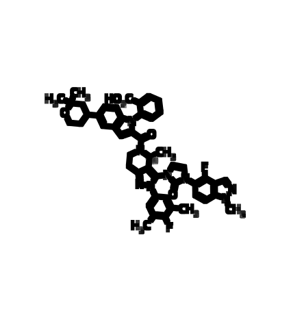 Cc1cc(-n2nc3c(c2-n2ccn(-c4ccc5c(cnn5C)c4F)c2=O)[C@H](C)N(C(=O)c2cc4cc(C5CCOC(C)(C)C5)ccc4n2-c2ccccc2C(=O)O)CC3)cc(C)c1F